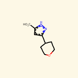 O=C(O)c1cc(C2CCOCC2)n[nH]1